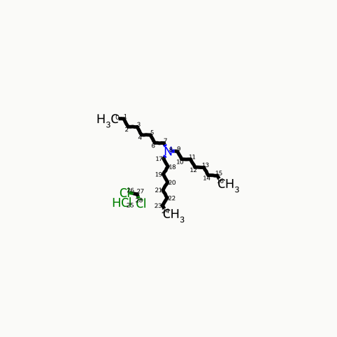 CCCCCCCCN(CCCCCCCC)CCCCCCCC.Cl.ClCCl